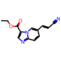 CCOC(=O)c1cnc2ccc(C=CC#N)cn12